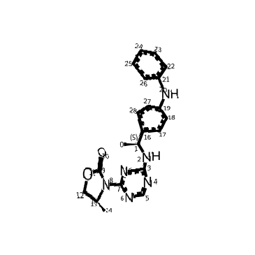 C[C@H](Nc1ncnc(N2C(=O)OC[C@@H]2C)n1)c1ccc(Nc2ccccc2)cc1